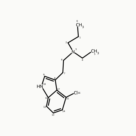 CCCN(CC)CCc1c[nH]c2cccc(Cl)c12